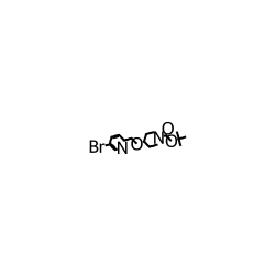 CC(C)(C)OC(=O)N1CCC(OCc2ccc(Br)cn2)CC1